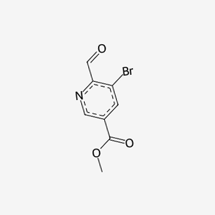 COC(=O)c1cnc(C=O)c(Br)c1